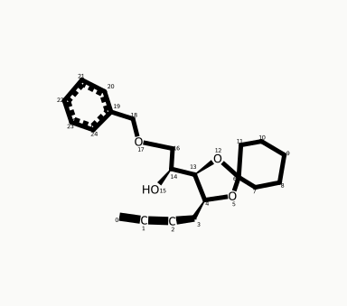 C=C=C=C[C@@H]1OC2(CCCCC2)O[C@@H]1[C@@H](O)COCc1ccccc1